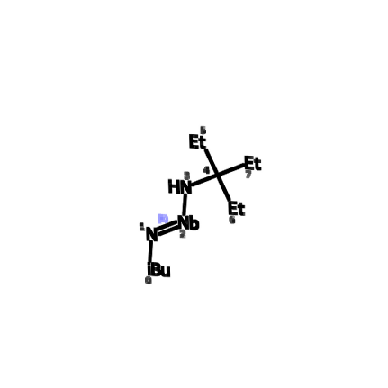 CCC(C)/[N]=[Nb]/[NH]C(CC)(CC)CC